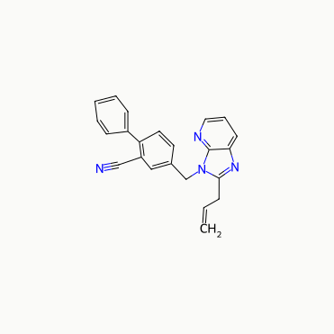 C=CCc1nc2cccnc2n1Cc1ccc(-c2ccccc2)c(C#N)c1